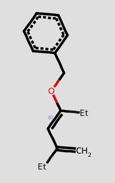 C=C(/C=C(\CC)OCc1ccccc1)CC